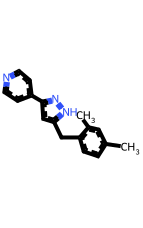 Cc1ccc(Cc2cc(-c3ccncc3)n[nH]2)c(C)c1